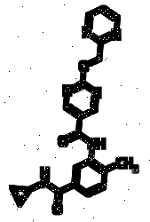 Cc1ccc(C(=O)NC2CC2)cc1NC(=O)c1cnc(OCc2ncccn2)nc1